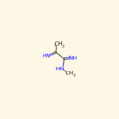 CNC(=N)C(C)=N